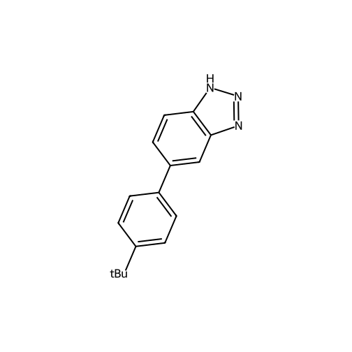 CC(C)(C)c1ccc(-c2ccc3[nH]nnc3c2)cc1